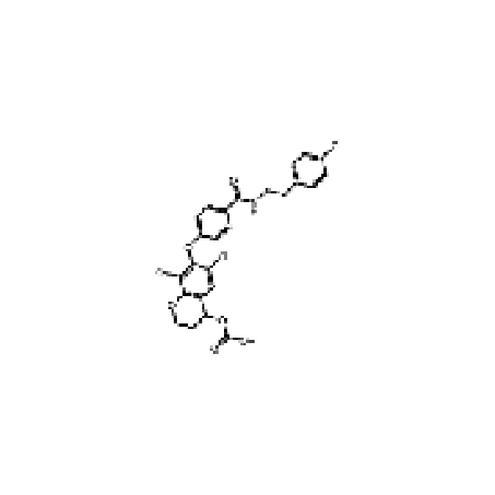 O=C(O)OC1CCOc2c1cc(Cl)c(Oc1ccc(C(=O)NCCc3ccc(Cl)cc3)cc1)c2Cl